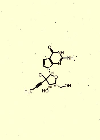 CC#CC1(Cl)[C@@H](O)[C@@H](CO)O[C@H]1n1ccc2c(=O)[nH]c(N)nc21